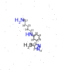 Bc1cn(C)nc1-c1cccc(NCCCCCN)c1